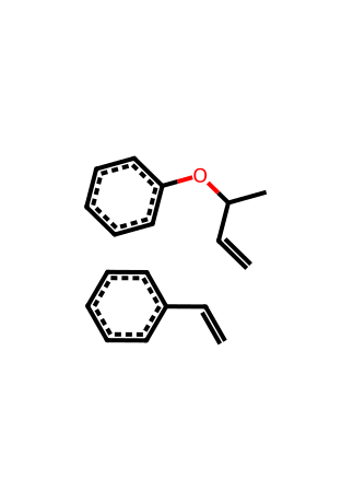 C=CC(C)Oc1ccccc1.C=Cc1ccccc1